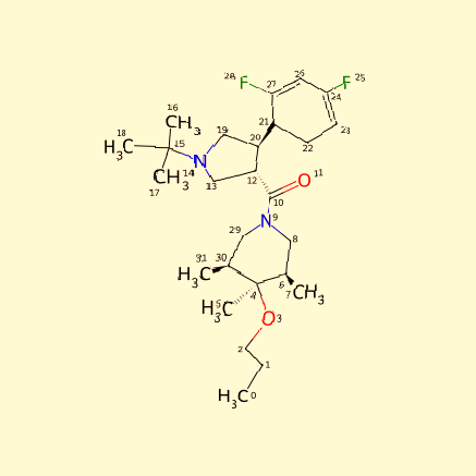 CCCO[C@]1(C)[C@H](C)CN(C(=O)[C@@H]2CN(C(C)(C)C)C[C@H]2C2CC=C(F)C=C2F)C[C@@H]1C